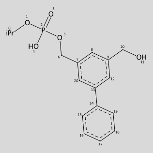 CC(C)OP(=O)(O)OCc1cc(CO)cc(-c2ccccc2)c1